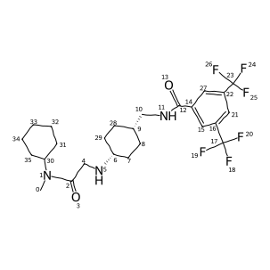 CN(C(=O)CN[C@H]1CC[C@@H](CNC(=O)c2cc(C(F)(F)F)cc(C(F)(F)F)c2)CC1)C1CCCCC1